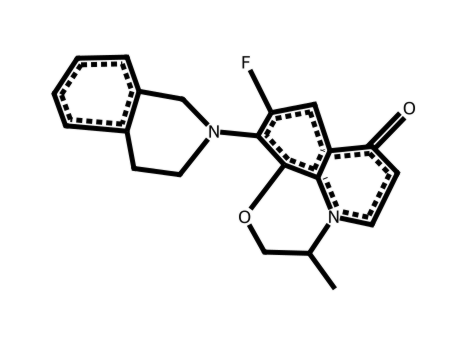 CC1COc2c(N3CCc4ccccc4C3)c(F)cc3c(=O)ccn1c23